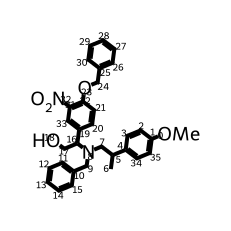 COc1ccc(C(C)CN(Cc2ccccc2)C(CO)c2ccc(OCc3ccccc3)c([N+](=O)[O-])c2)cc1